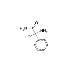 NC(=O)C(N)(O)c1ccccc1